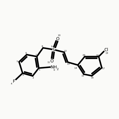 Nc1cc(F)ccc1CS(=O)(=O)C=Cc1cccc(Cl)c1